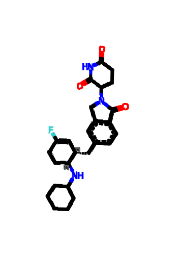 O=C1CCC(N2Cc3cc(C[C@H]4C=C(F)CC[C@@H]4NC4CCCCC4)ccc3C2=O)C(=O)N1